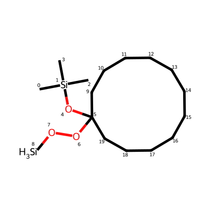 C[Si](C)(C)OC1(OO[SiH3])CCCCCCCCCCC1